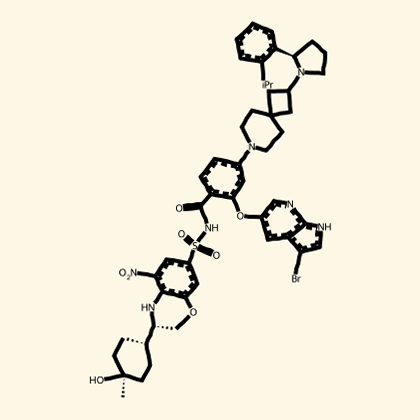 CC(C)c1ccccc1[C@H]1CCCN1C1CC2(CCN(c3ccc(C(=O)NS(=O)(=O)c4cc5c(c([N+](=O)[O-])c4)N[C@@H]([C@H]4CC[C@](C)(O)CC4)CO5)c(Oc4cnc5[nH]cc(Br)c5c4)c3)CC2)C1